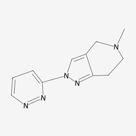 CN1CCc2nn(-c3cccnn3)cc2C1